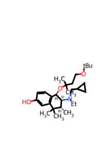 CCN(CC1CC1)[C@@H]1[C@H](OC(C)(C)CCOC(C)(C)C)c2ccc(O)cc2C(C)(C)[C@H]1C